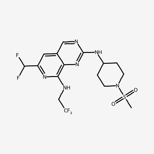 CS(=O)(=O)N1CCC(Nc2ncc3cc(C(F)F)nc(NCC(F)(F)F)c3n2)CC1